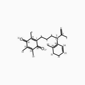 C=C(C)N(CCCC1=C(C)C(=O)C(C)=C(C)C1=O)C1=C(C)CCC=C1